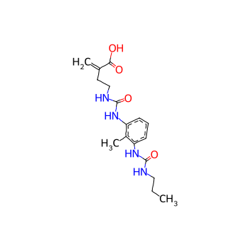 C=C(CCNC(=O)Nc1cccc(NC(=O)NCCC)c1C)C(=O)O